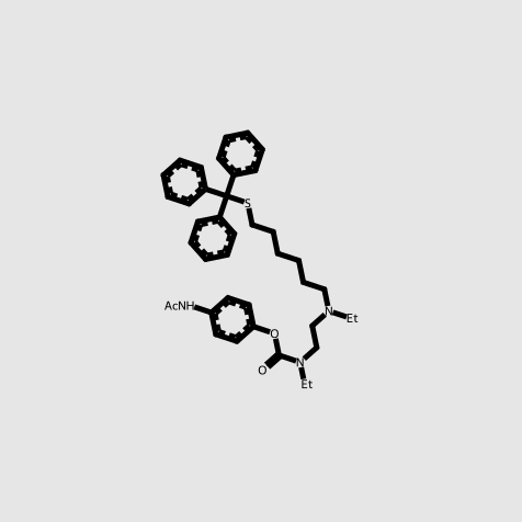 CCN(CCCCCCSC(c1ccccc1)(c1ccccc1)c1ccccc1)CCN(CC)C(=O)Oc1ccc(NC(C)=O)cc1